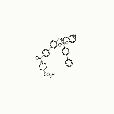 O=C(O)C1CCN(C(=O)c2ccc(-c3ccc(CN(Cc4cccnc4)S(=O)(=O)c4ccc(-c5ccccc5)cc4)cc3)cc2)CC1